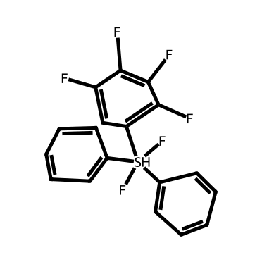 Fc1cc([SH](F)(F)(c2ccccc2)c2ccccc2)c(F)c(F)c1F